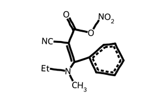 CCN(C)C(=C(C#N)C(=O)O[N+](=O)[O-])c1ccccc1